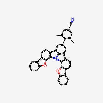 Cc1cc(C#N)cc(C)c1-c1cc2c3ccc4c5ccccc5oc4c3n3c2c(c1)c1ccc2c4ccccc4oc2c13